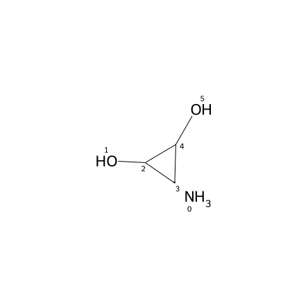 N.OC1CC1O